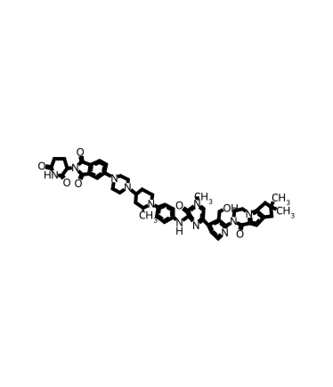 C[C@H]1CC(N2CCN(c3ccc4c(c3)C(=O)N(C3CCC(=O)NC3=O)C4=O)CC2)CCN1c1ccc(Nc2nc(-c3ccnc(N4CCn5c(cc6c5CC(C)(C)C6)C4=O)c3CO)cn(C)c2=O)cc1